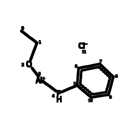 CC[O][Al+][PH]c1ccccc1.[Cl-]